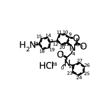 CN(C(=O)Cn1c(=O)oc2ccc(-c3ccc(N)cc3)cc21)c1ccccc1.Cl